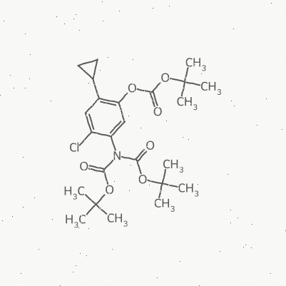 CC(C)(C)OC(=O)Oc1cc(N(C(=O)OC(C)(C)C)C(=O)OC(C)(C)C)c(Cl)cc1C1CC1